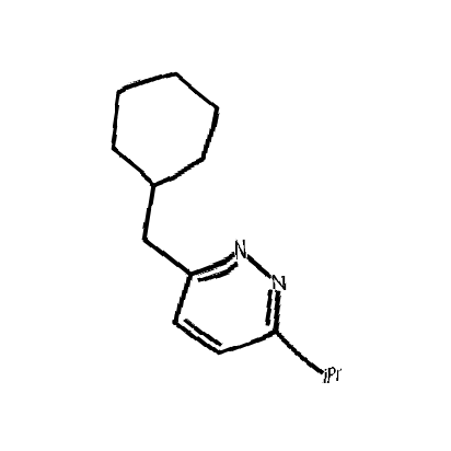 CC(C)c1ccc(CC2CCCCC2)nn1